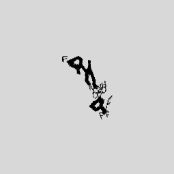 Cc1cc(F)ccc1-c1cnc(NS(=O)(=O)c2cccc(C(F)(F)F)c2)cc1C